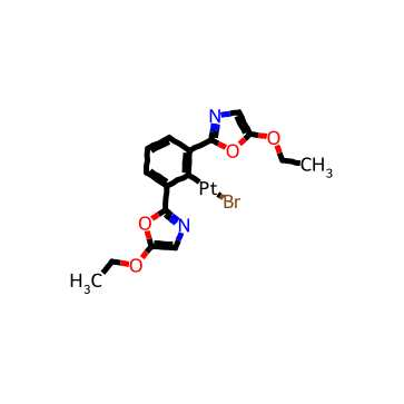 CCOc1cnc(-c2cccc(-c3ncc(OCC)o3)[c]2[Pt][Br])o1